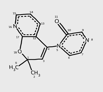 CC1(C)C=C(n2ccncc2=O)c2cccnc2O1